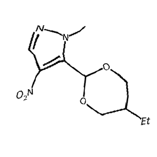 CCC1COC(c2c([N+](=O)[O-])cnn2C)OC1